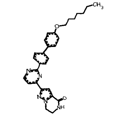 CCCCCCCOc1ccc(-c2ccc(-c3nccc(-c4cc5n(n4)CCNC5=O)n3)cc2)cc1